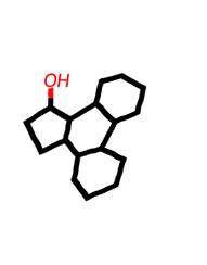 OC1CCC2C3CCCCC3C3CCCCC3C12